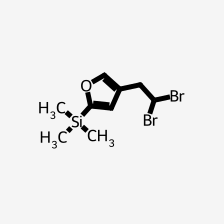 C[Si](C)(C)c1cc(CC(Br)Br)co1